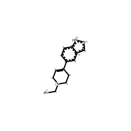 C[C](C)CN1CC=C(c2ccc3[nH]ncc3c2)CC1